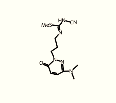 CS/C(=N\CCCn1nc(N(C)C)ccc1=O)NC#N